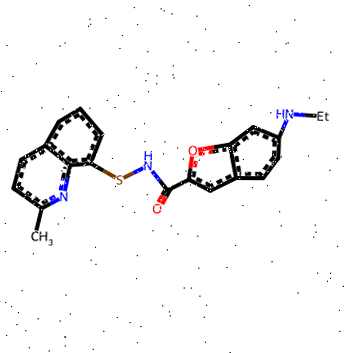 CCNc1ccc2cc(C(=O)NSc3cccc4ccc(C)nc34)oc2c1